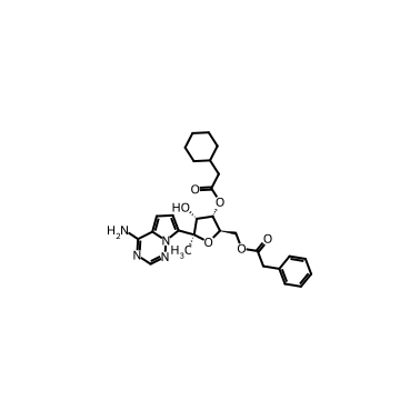 C[C@@]1(c2ccc3c(N)ncnn23)O[C@H](COC(=O)Cc2ccccc2)[C@@H](OC(=O)CC2CCCCC2)[C@H]1O